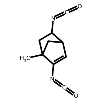 CC12CC(C=C1N=C=O)C(N=C=O)C2